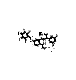 Cc1cc(C)cc(C(CC(C)C)NC(=O)c2cc(OCc3c(F)c(F)c(F)c(F)c3F)ccc2CCC(=O)O)c1